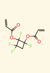 C=CC(=O)OC1(F)CC(F)(F)C1(F)OC(=O)C=C